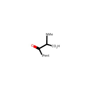 CCCC(C)C(=O)C(NC)C(=O)O